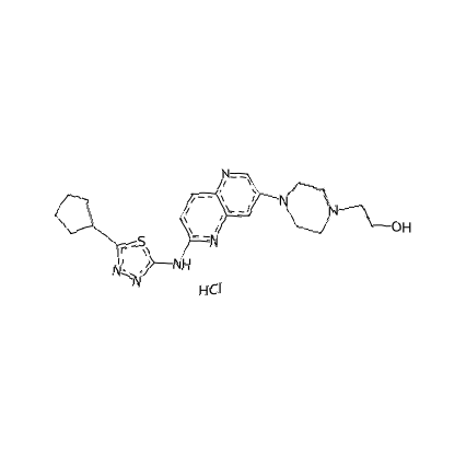 Cl.OCCN1CCN(c2cnc3ccc(Nc4nnc(C5CCCC5)s4)nc3c2)CC1